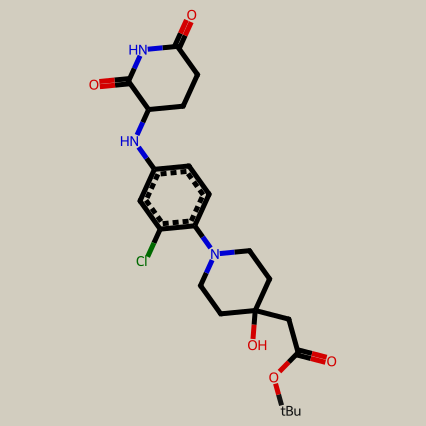 CC(C)(C)OC(=O)CC1(O)CCN(c2ccc(NC3CCC(=O)NC3=O)cc2Cl)CC1